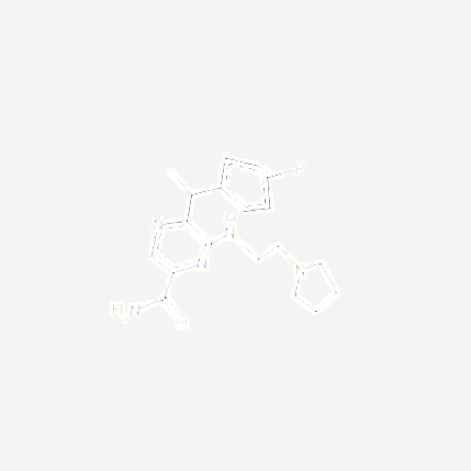 CC(c1ccc(F)cc1)c1ncc(C(N)=O)nc1NCCN1CCCC1